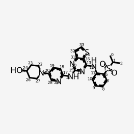 CC(C)S(=O)(=O)c1ccccc1Nc1nc(Nc2ccc(N3CCC(O)CC3)cn2)nc2ccsc12